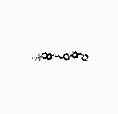 CS(=O)(=O)N1CCc2cc(OCCCC3CCN(c4ccc(C[N+]5CCOCC5)cn4)CC3)ccc2C1